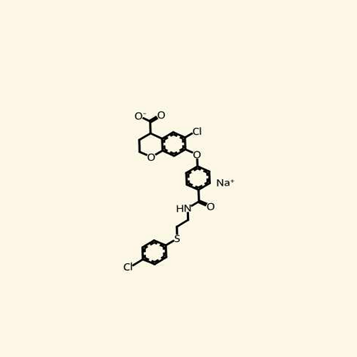 O=C(NCCSc1ccc(Cl)cc1)c1ccc(Oc2cc3c(cc2Cl)C(C(=O)[O-])CCO3)cc1.[Na+]